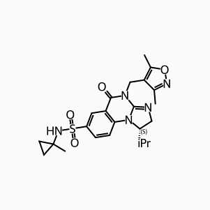 Cc1noc(C)c1CN1C(=O)c2cc(S(=O)(=O)NC3(C)CC3)ccc2N2C1=NC[C@@H]2C(C)C